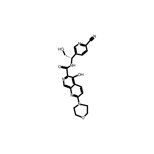 N#Cc1ccc([C@@H](CO)NC(=O)c2ncc3nc(N4CCOCC4)ccc3c2O)cn1